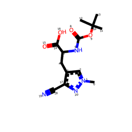 Cn1cc(CC(NC(=O)OC(C)(C)C)C(=O)O)c(C#N)n1